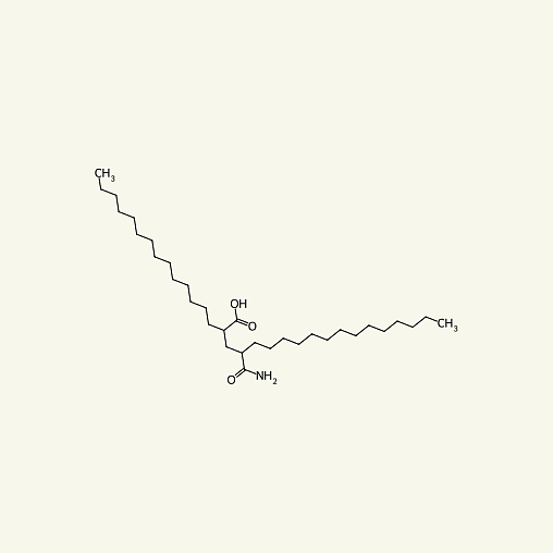 CCCCCCCCCCCCCCC(CC(CCCCCCCCCCCCCC)C(=O)O)C(N)=O